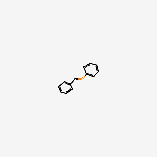 C(=Pc1ccccc1)c1ccccc1